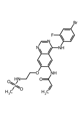 C=CC(=O)Nc1cc2c(Nc3ccc(Br)cc3F)ncnc2cc1OCCNS(C)(=O)=O